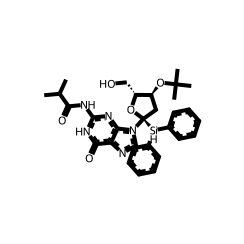 CC(C)C(=O)Nc1nc2c(ncn2[C@@]2([SiH](c3ccccc3)c3ccccc3)C[C@H](OC(C)(C)C)[C@@H](CO)O2)c(=O)[nH]1